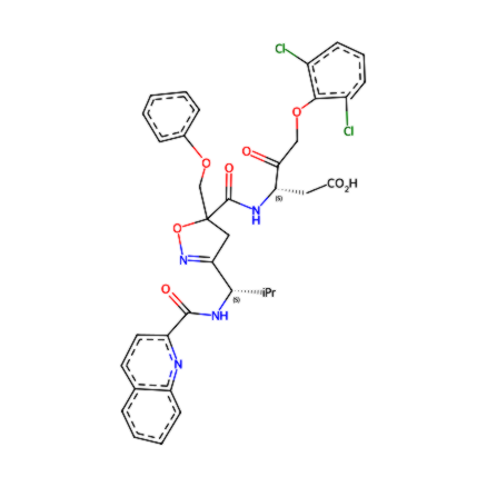 CC(C)[C@H](NC(=O)c1ccc2ccccc2n1)C1=NOC(COc2ccccc2)(C(=O)N[C@@H](CC(=O)O)C(=O)COc2c(Cl)cccc2Cl)C1